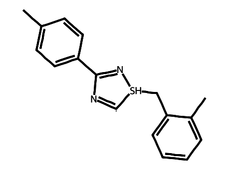 Cc1ccc(C2=N[SH](Cc3ccccc3C)[C]=N2)cc1